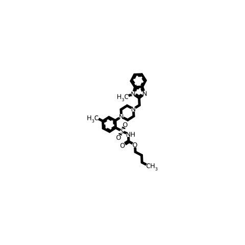 CCCCOC(=O)NS(=O)(=O)c1ccc(C)cc1N1CCN(Cc2nc3ccccc3n2C)CC1